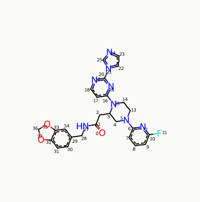 O=C(CC1CN(c2cccc(F)n2)CCN1c1ccnc(-n2ccnc2)n1)NCc1ccc2c(c1)OCO2